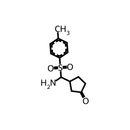 Cc1ccc(S(=O)(=O)C(N)C2CCC(=O)C2)cc1